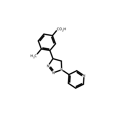 Cc1ccc(C(=O)O)cc1C1CN(c2cccnc2)N=N1